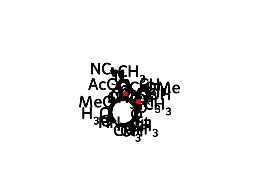 CC[C@H]1OC(=O)[C@H](C)[C@@H](O[C@H]2C[C@@](C)(OC)[C@@H](O)[C@H](C)O2)[C@H](C)[C@@H](O[C@@H]2O[C@H](C)C[C@H](N(C)CCC#N)[C@H]2OC(C)=O)[C@](C)(OC)C[C@@H](C)C(=O)N[C@H](C)[C@@H](O)[C@]1(C)O